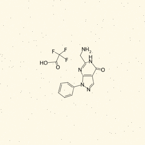 NCc1nc2c(cnn2-c2ccccc2)c(=O)[nH]1.O=C(O)C(F)(F)F